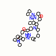 c1ccc(-c2cccc(-c3nc(-c4cccc(-c5cccc(-c6ccc7c8cc(-c9ccc%10oc%11cccc(-c%12nc(-c%13cccc%14ccccc%13%14)nc(-c%13cccc%14ccccc%13%14)n%12)c%11c%10c9)ccc8n(-c8ccccc8)c7c6)c5)c4)nc(-c4cccc5oc6ccc(-c7ccc8c(c7)c7ccccc7n8-c7ccccc7)cc6c45)n3)c2)cc1